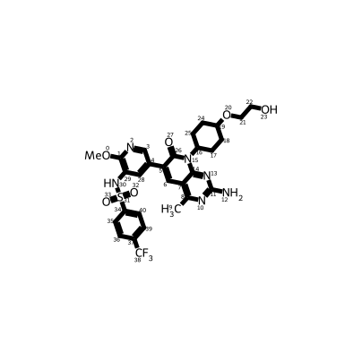 COc1ncc(-c2cc3c(C)nc(N)nc3n(C3CCC(OCCO)CC3)c2=O)cc1NS(=O)(=O)c1ccc(C(F)(F)F)cc1